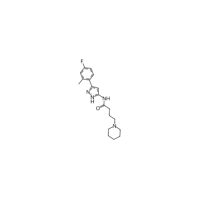 Cc1cc(F)ccc1-c1cc(NC(=O)CCCN2CCCCC2)[nH]n1